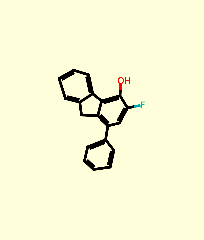 Oc1c(F)cc(-c2ccccc2)c2c1-c1ccccc1C2